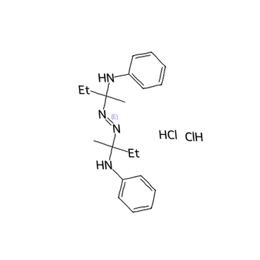 CCC(C)(/N=N/C(C)(CC)Nc1ccccc1)Nc1ccccc1.Cl.Cl